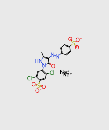 Cc1[nH]n(-c2cc(Cl)c(S(=O)(=O)[O-])cc2Cl)c(=O)c1N=Nc1ccc(S(=O)(=O)[O-])cc1.[Na+].[Na+]